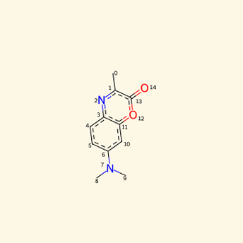 Cc1nc2ccc(N(C)C)cc2oc1=O